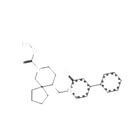 CC(C)(C)OC(=O)N1CC[C@@H](Cn2ccc(-c3ccccc3)cc2=O)C2(CCCC2)C1